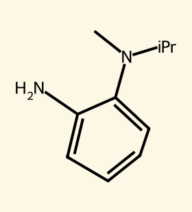 CC(C)N(C)c1ccccc1N